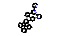 c1ccc(C2(c3ccccc3)c3ccccc3-c3ccc(-c4ccccc4-c4ccccc4-c4cc(-c5ccccn5)nc(-c5ccccn5)c4)cc32)cc1